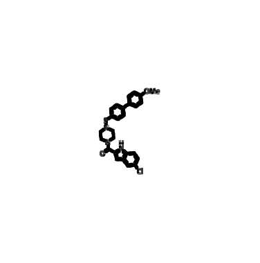 COc1ccc(-c2ccc(SN3CCN(C(=O)c4cc5cc(Cl)ccc5[nH]4)CC3)cc2)cc1